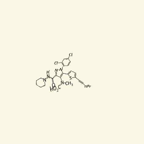 CCCC#Cc1ccc(-c2c(N(C)C(=O)O)c(C(=O)NN3CCCCC3)nn2-c2ccc(Cl)cc2Cl)s1